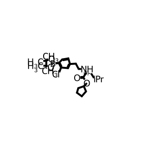 CC(C)C[C@@H](NCCc1ccc(B2OC(C)(C)C(C)(C)O2)c(Cl)c1)C(=O)OC1CCCC1